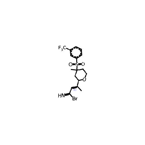 C/C(=C\C(=N)Br)C1CC(C)(S(=O)(=O)c2cccc(C(F)(F)F)c2)CCO1